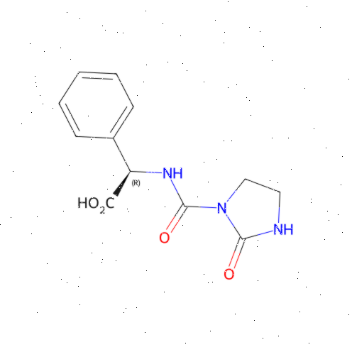 O=C(O)[C@H](NC(=O)N1CCNC1=O)c1ccccc1